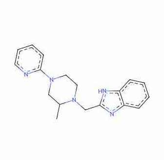 CC1CN(c2ccccn2)CCN1Cc1nc2ccccc2[nH]1